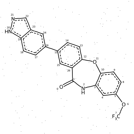 O=C1Nc2cc(OC(F)(F)F)ccc2Oc2ccc(-c3ccc4[nH]ncc4c3)cc21